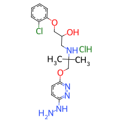 CC(C)(COc1ccc(NN)nn1)NCC(O)COc1ccccc1Cl.Cl